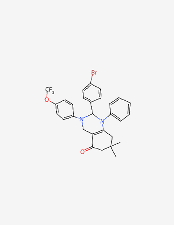 CC1(C)CC(=O)C2=C(C1)N(c1ccccc1)C(c1ccc(Br)cc1)N(c1ccc(OC(F)(F)F)cc1)C2